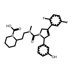 CN(CCC1CCCCN1C(=O)O)C(=O)N1CC(c2cc(F)ccc2F)=CC1c1cccc(O)c1